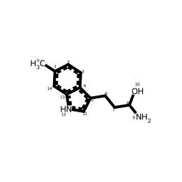 Cc1ccc2c(CCC(N)O)c[nH]c2c1